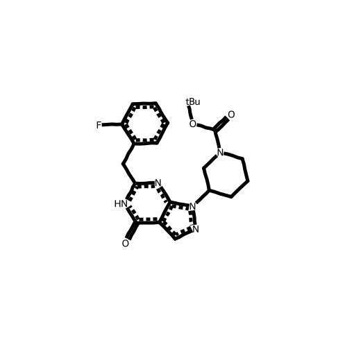 CC(C)(C)OC(=O)N1CCCC(n2ncc3c(=O)[nH]c(Cc4ccccc4F)nc32)C1